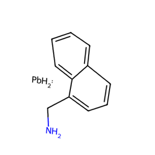 NCc1cccc2ccccc12.[PbH2]